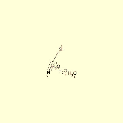 N#CS.O.O.O